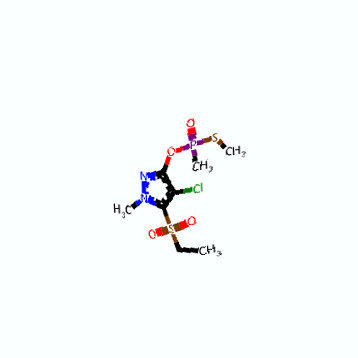 CCS(=O)(=O)c1c(Cl)c(OP(C)(=O)SC)nn1C